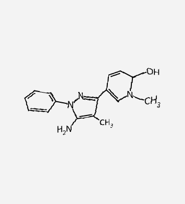 Cc1c(C2=CN(C)C(O)C=C2)nn(-c2ccccc2)c1N